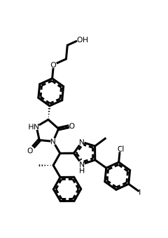 Cc1nc(C([C@@H](C)c2ccccc2)N2C(=O)N[C@H](c3ccc(OCCO)cc3)C2=O)[nH]c1-c1ccc(I)cc1Cl